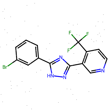 FC(F)(F)c1ccncc1-c1n[nH]c(-c2cccc(Br)c2)n1